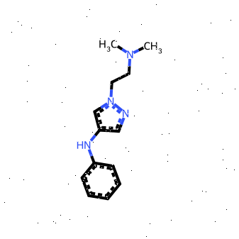 CN(C)CCn1cc(Nc2ccccc2)cn1